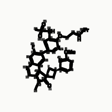 COc1cccc([C@H]2C[C@@]3(C2)C(=O)N(C)c2cnc4cc(F)c(-c5cnc(OCCNC(C)C)c(NS(C)(=O)=O)c5)cc4c23)n1